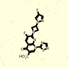 O=C(O)c1cn(-c2ncns2)c2nc(N3CC(n4cc(F)cn4)C3)c(F)cc2c1=O